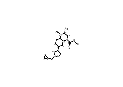 CC(=O)N1C2CCC(C3CNN(CC4CC4)C3)CC2N(C(=O)OC(C)C)C[C@@H]1C